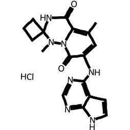 Cc1cc(Nc2ncnc3[nH]ccc23)c(=O)n2c1C(=O)NC1(CCC1)N2C.Cl